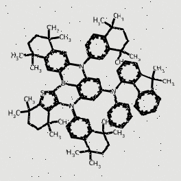 CC1(C)CCC(C)(C)c2cc(N3c4cc5c(cc4B4c6sc7c(c6N(c6ccc8c(c6)C(C)(C)CCC8(C)C)c6cc(N(c8ccccc8)c8cccc9c8-c8ccccc8C9(C)C)cc3c64)C(C)(C)CCC7(C)C)C(C)(C)CCC5(C)C)ccc21